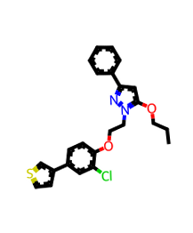 CCCOc1cc(-c2ccccc2)nn1CCOc1ccc(-c2ccsc2)cc1Cl